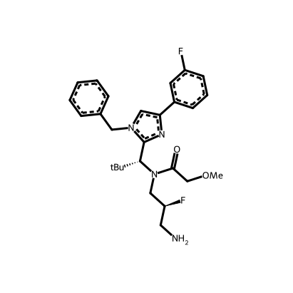 COCC(=O)N(C[C@@H](F)CN)[C@@H](c1nc(-c2cccc(F)c2)cn1Cc1ccccc1)C(C)(C)C